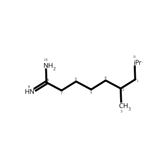 C[C](C)CC(C)CCCCC(=N)N